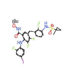 CC(C)(C)ONC(=O)c1cc(Cc2cccc(NS(=O)(=O)C3(C)CC3)c2F)c(F)c(F)c1Nc1ccc(I)cc1F